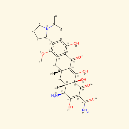 COc1c([C@@H]2CCCN2C(C)C)cc(O)c2c1C[C@H]1C[C@H]3[C@H](N)C(O)=C(C(N)=O)C(=O)[C@@]3(O)C(O)=C1C2=O